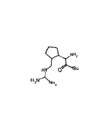 CC(C)(C)C(=O)C(N)C1CCCC1CNC(N)N